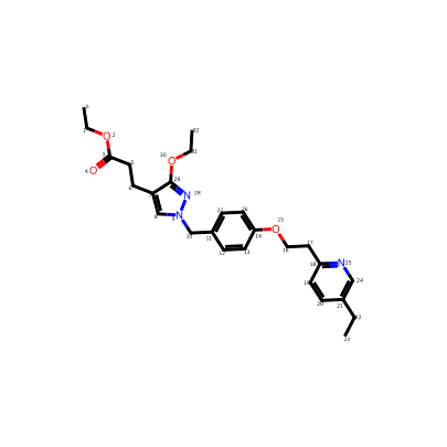 CCOC(=O)CCc1cn(Cc2ccc(OCCc3ccc(CC)cn3)cc2)nc1OCC